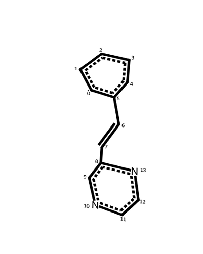 [c]1ccccc1C=Cc1cnccn1